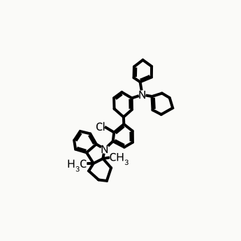 CC12CCCCC1(C)N(c1cccc(C3C=C(N(C4=CCCC=C4)C4=CCCCC4)C=CC3)c1Cl)c1ccccc12